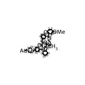 COc1cccc(COCCN(C)C(=O)[C@H](Cc2ccccc2)N(Cc2ccc(N3CCN(C(C)=O)CC3)cc2)C(=O)C=Cc2ccc(C(F)(F)F)cc2)c1